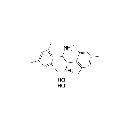 Cc1cc(C)c(C(N)C(N)c2c(C)cc(C)cc2C)c(C)c1.Cl.Cl